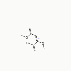 C=C(/C=C(/OC)C(=C)Cl)OC